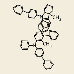 Cc1c(N(c2ccccc2)c2ccc(-c3ccccc3)cc2)ccc(-c2ccc([C@@]3(C)C=CC=CC3N(C3=CCC=CC#C3)C3=CC=C(c4ccccc4)CC3)cc2)c1-c1ccccc1